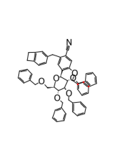 N#Cc1cc(OCc2ccccc2)c([C@@H]2O[C@H](COCc3ccccc3)[C@@H](OCc3ccccc3)[C@H](OCc3ccccc3)[C@H]2OCc2ccccc2)cc1Cc1ccc2c(c1)CC2